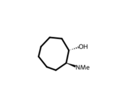 CN[C@H]1CCCCCC[C@@H]1O